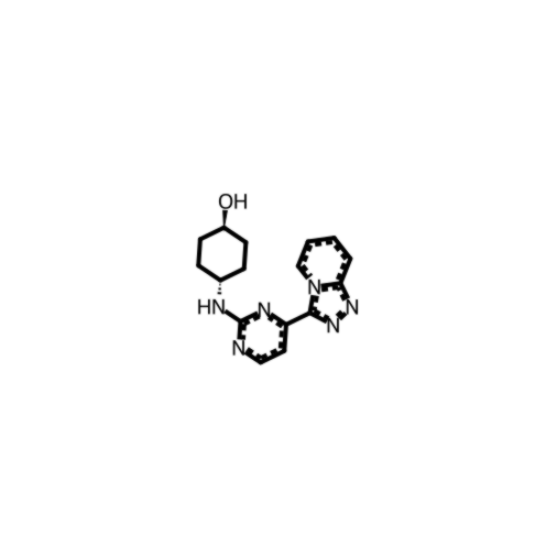 O[C@H]1CC[C@H](Nc2nccc(-c3nnc4ccccn34)n2)CC1